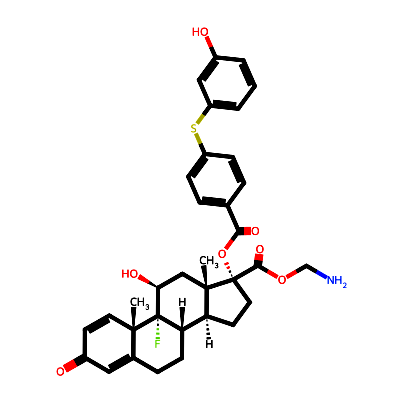 C[C@]12C=CC(=O)C=C1CC[C@H]1[C@@H]3CC[C@](OC(=O)c4ccc(Sc5cccc(O)c5)cc4)(C(=O)OCN)[C@@]3(C)C[C@H](O)[C@@]12F